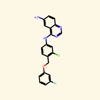 Nc1ccc2ncnc(Nc3ccc(COc4cccc(F)c4)c(Cl)c3)c2c1